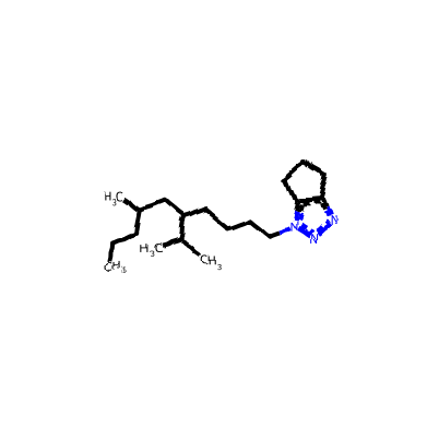 CCCC(C)CC(CCCCn1nnc2c1CCC2)C(C)C